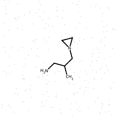 CC(CN)CN1CC1